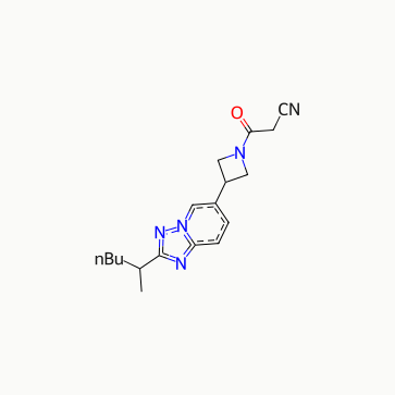 CCCCC(C)c1nc2ccc(C3CN(C(=O)CC#N)C3)cn2n1